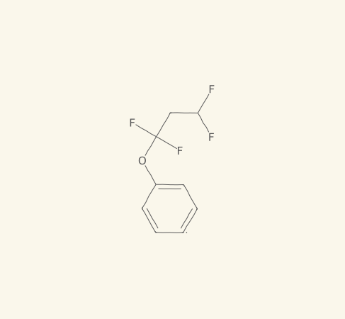 FC(F)CC(F)(F)Oc1cc[c]cc1